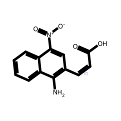 Nc1c(/C=C\C(=O)O)cc([N+](=O)[O-])c2ccccc12